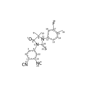 [C-]#[N+]c1ccc(N2C(=O)C(C)(C)N(c3ccc(C)c(F)c3)C2=S)cc1[N+]#[C-]